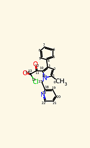 Cc1cc(-c2ccccc2)c(C(=O)C(=O)Cl)n1Cc1ccccn1